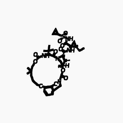 CC[C@@H]1C[C@]1(NC(=O)[C@@H]1[C@H](C)[C@@H]2CN1C(=O)[C@H](C(C)(C)C)NC(=O)OCC(C)(C)CCCCc1cccc3c1CN(C3)C(=O)O2)C(=O)NS(=O)(=O)C1CC1